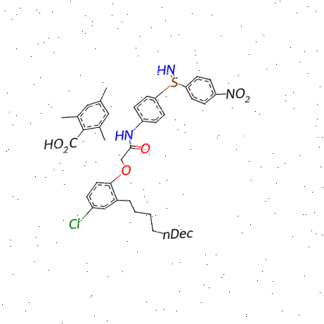 CCCCCCCCCCCCCCc1cc(Cl)ccc1OCC(=O)Nc1ccc(S(=N)c2ccc([N+](=O)[O-])cc2)cc1.Cc1cc(C)c(C(=O)O)c(C)c1